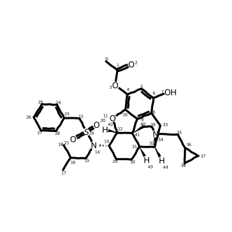 CC(=O)Oc1cc(O)c2c3c1O[C@H]1[C@@H](N(CC(C)C)S(=O)(=O)Cc4ccccc4)CC[C@H]4[C@@H](C2)N(CC2CC2)CC[C@@]341